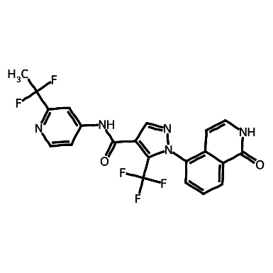 CC(F)(F)c1cc(NC(=O)c2cnn(-c3cccc4c(=O)[nH]ccc34)c2C(F)(F)F)ccn1